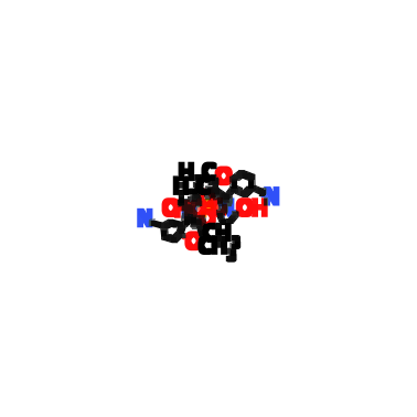 CC1(C)Oc2ccc(C#N)cc2[C@@H](N2CCCC2=O)[C@H]1OP(=O)(O)O[C@H]1[C@@H](N2CCCC2O)c2cc(C#N)ccc2OC1(C)C